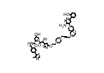 Cc1ncsc1-c1ccc([C@H](C)NC(=O)[C@@H]2C[C@@H](O)CN2C(=O)[C@@H](c2cc(OCCN3CCN(CC#CCN4CCOC5(CCN(c6cc(-c7ccccc7O)nnc6N)CC5)C4)CC3)no2)C(C)C)cc1